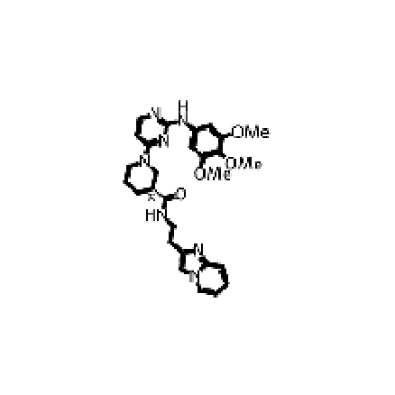 COc1cc(Nc2nccc(N3CCC[C@H](C(=O)NCCc4cn5ccccc5n4)C3)n2)cc(OC)c1OC